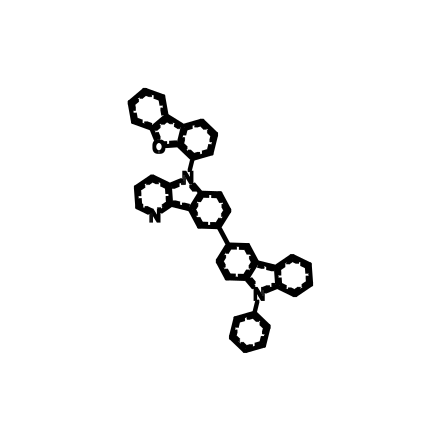 c1ccc(-n2c3ccccc3c3cc(-c4ccc5c(c4)c4ncccc4n5-c4cccc5c4oc4ccccc45)ccc32)cc1